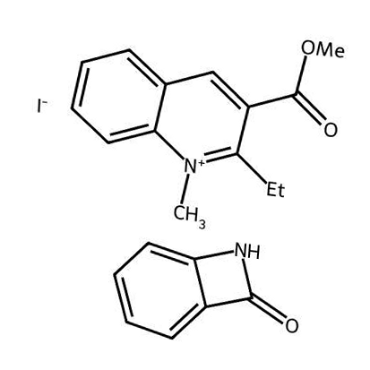 CCc1c(C(=O)OC)cc2ccccc2[n+]1C.O=C1Nc2ccccc21.[I-]